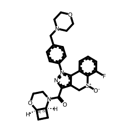 O=C(c1nn(-c2ccc(CN3CCOCC3)cc2)c2c1C[S+]([O-])c1c(F)cccc1-2)N1CCO[C@@H]2CC[C@@H]21